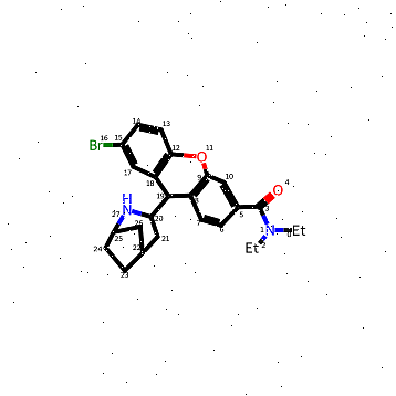 CCN(CC)C(=O)c1ccc2c(c1)Oc1ccc(Br)cc1C2C1CC2CCC(C2)N1